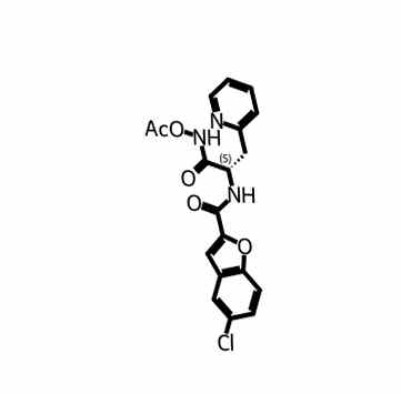 CC(=O)ONC(=O)[C@H](Cc1ccccn1)NC(=O)c1cc2cc(Cl)ccc2o1